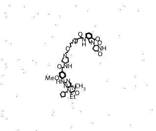 CC[C@@H]1C(=O)N(C)c2cnc(Nc3ccc(C(=O)NC4CCN(CCOCCN5CC(C(=O)Nc6cccc7c6CN(C6CCC(=O)NC6=O)C7=O)C5)CC4)cc3OC)nc2N1C1CCCC1